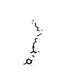 CCNc1nc(Nc2ccc(C=N)c(NC)c2)ncc1C#CCCCNC(=O)CN(C)C(=O)/C=C/CN(C)C